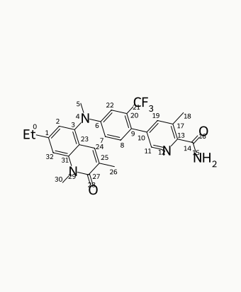 CCc1cc(N(C)c2ccc(-c3cnc(C(N)=O)c(C)c3)c(C(F)(F)F)c2)c2cc(C)c(=O)n(C)c2c1